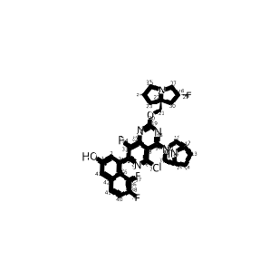 Oc1cc(-c2nc(Cl)c3c(N4CC5CCC(C4)N5)nc(OC[C@@]45CCCN4C[C@H](F)C5)nc3c2F)c2c(F)c(F)ccc2c1